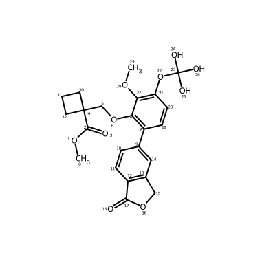 COC(=O)C1(COc2c(-c3ccc4c(c3)COC4=O)ccc(OC(O)(O)O)c2OC)CCC1